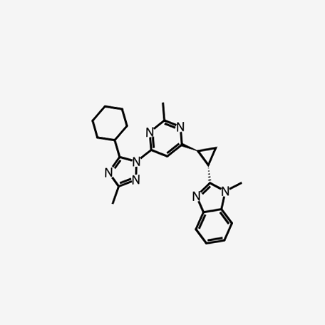 Cc1nc([C@H]2C[C@@H]2c2nc3ccccc3n2C)cc(-n2nc(C)nc2C2CCCCC2)n1